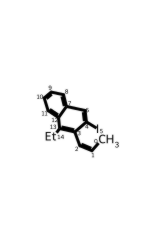 C/C=C\c1c(I)cc2ccccc2c1CC